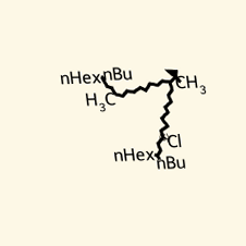 CCCCCCC(CCCC)CCC(C)CCCCCCCCC(CCCCCCCC[C@H](Cl)CCC(CCCC)CCCCCC)C1(C)C=C1